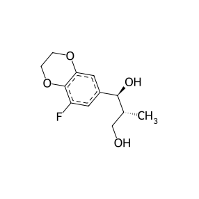 C[C@H](CO)[C@H](O)c1cc(F)c2c(c1)OCCO2